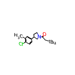 Cc1cc(C2CCN(C(=O)CC(C)(C)C)C2)ccc1Cl